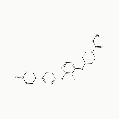 Cc1c(Oc2ccc(C3COS(=O)OC3)cc2)ncnc1OC1CCN(C(=O)OC(C)C)CC1